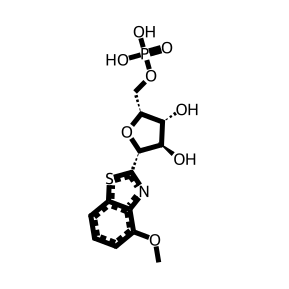 COc1cccc2sc([C@@H]3O[C@H](COP(=O)(O)O)[C@H](O)[C@H]3O)nc12